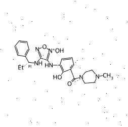 CC[C@@H](Nc1no[n+](O)c1Nc1cccc(C(=O)N2CCN(C)CC2)c1O)c1ccccc1